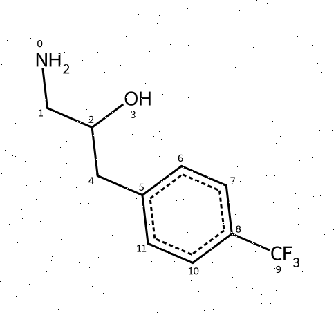 NCC(O)Cc1ccc(C(F)(F)F)cc1